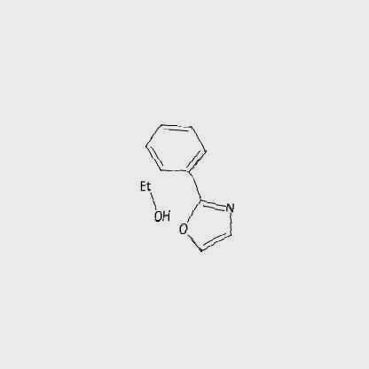 CCO.c1ccc(-c2ncco2)cc1